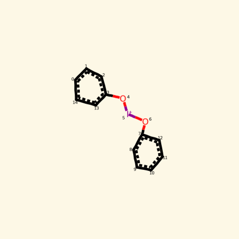 c1ccc(O[I+]Oc2ccccc2)cc1